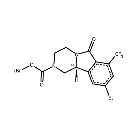 CCc1cc2c(c(C(F)(F)F)c1)C(=O)N1CCN(C(=O)OC(C)(C)C)C[C@@H]21